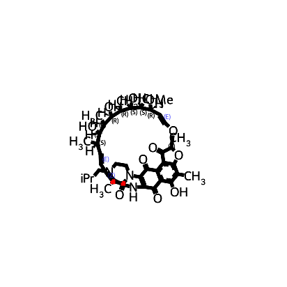 CO[C@H]1/C=C/O[C@@]2(C)Oc3c(C)c(O)c4c(c3C2=O)C(=O)C(N2CCN(CC(C)C)CC2)=C(NC(=O)/C(C)=C\C=C\[C@H](C)[C@H](O)[C@@H](C)[C@@H](O)[C@@H](C)[C@H](O)[C@@H]1C)C4=O